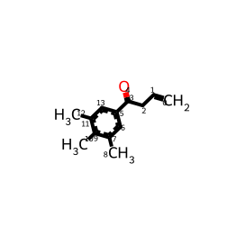 C=CCC(=O)c1cc(C)c(C)c(C)c1